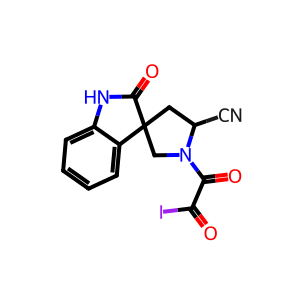 N#CC1CC2(CN1C(=O)C(=O)I)C(=O)Nc1ccccc12